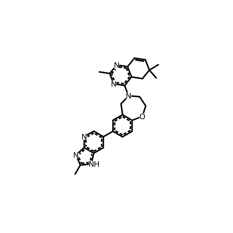 Cc1nc2c(c(N3CCOc4ccc(-c5cnc6nc(C)[nH]c6c5)cc4C3)n1)CC(C)(C)C=C2